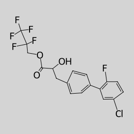 O=C(OCC(F)(F)C(F)(F)F)C(O)Cc1ccc(-c2cc(Cl)ccc2F)cc1